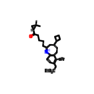 CCCc1c(CC(=O)OCC)ccc2c1CCC(C1CCC1)C/C(CCCCC(=O)[C@H]1CC1(C)C)=N\2